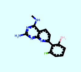 Bc1cccc(F)c1-c1ccc2c(NC)nc(N)nc2n1